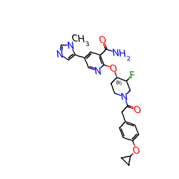 Cn1cncc1-c1cnc(O[C@@H]2CCN(C(=O)Cc3ccc(OC4CC4)cc3)CC2F)c(C(N)=O)c1